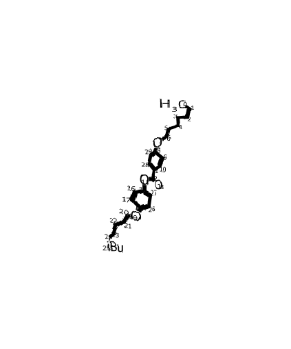 C/C=C\CCCCOc1ccc(C(=O)Oc2ccc(OCCCCC[C@@H](C)CC)cc2)cc1